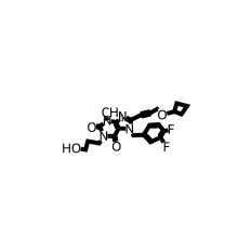 Cn1c(=O)n(CCCO)c(=O)c2c1nc(C#CCOC1CCC1)n2Cc1ccc(F)c(F)c1